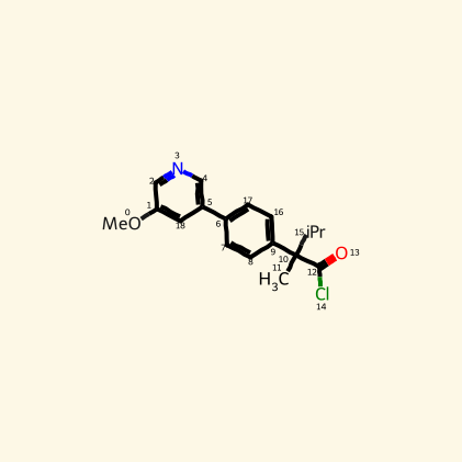 COc1cncc(-c2ccc(C(C)(C(=O)Cl)C(C)C)cc2)c1